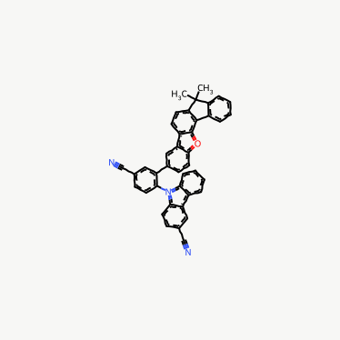 CC1(C)c2ccccc2-c2c1ccc1c2oc2ccc(-c3cc(C#N)ccc3-n3c4ccccc4c4cc(C#N)ccc43)cc21